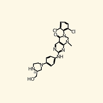 CN1CN(c2c(Cl)cccc2Cl)C(=O)c2cnc(Nc3ccc(N4CCN[C@H](CO)C4)cc3)nc21